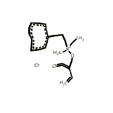 C=CC(=O)O[N+](C)(C)Cc1ccccc1.[Cl-]